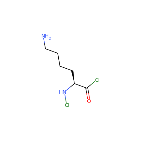 NCCCC[C@H](NCl)C(=O)Cl